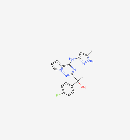 Cc1cc(Nc2nc(C(C)(O)c3ccc(F)cc3)nn3cccc23)n[nH]1